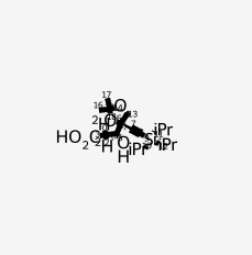 [2H]C([2H])(C(=O)O)[C@H](O)[C@@]1(C#C[Si](C(C)C)(C(C)C)C(C)C)COC(C)(C)O1